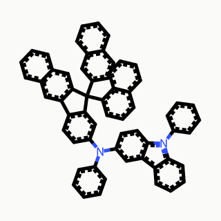 c1ccc(N(c2ccc3c(c2)C(c2ccc4ccccc4c2)(c2cccc4ccccc24)c2cc4ccccc4cc2-3)c2ccc3c(c2)c2ccccc2n3-c2ccccc2)cc1